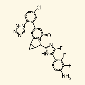 Nc1ccc(-c2[nH]c(C3C4CC4c4cc(-c5cc(Cl)ccc5-n5cnnn5)cc(=O)n43)nc2F)c(F)c1F